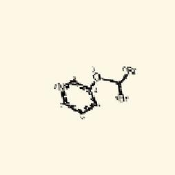 BrC(Br)Oc1cccnc1